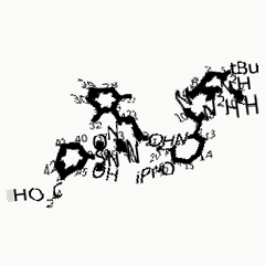 [2H]C([2H])([2H])n1c(C(C)(C)C)cc2ncc(C3CCC[C@@H](OC(C)C)[C@H](COc4cc(-c5c(C)cccc5C)nc(NS(=O)(=O)c5cccc(C(=O)O)c5)n4)N3)nc21